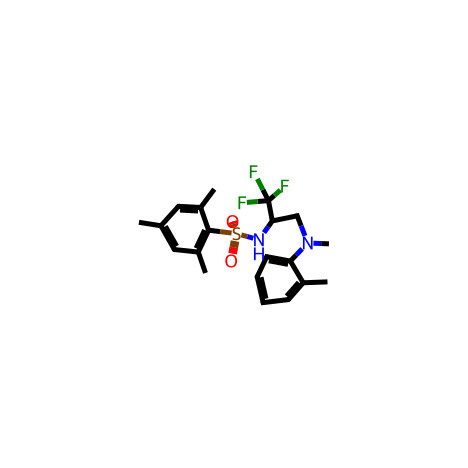 Cc1cc(C)c(S(=O)(=O)NC(CN(C)c2ccccc2C)C(F)(F)F)c(C)c1